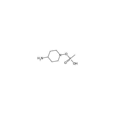 CP(=O)(O)ON1CCC(N)CC1